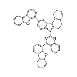 C1=CC2C3=C(C=CCC3)OC2C(c2nc(-n3c4c(c5cc(-c6cccc7c6oc6ccccc67)ccc53)C3=C(C=CCC3)CC4)nc3ccccc23)=C1